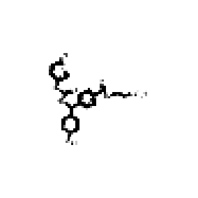 CC(C)(C)C1CCC(C(NC(=O)Nc2ccc(C#N)cc2)c2ccc(C(=O)NCCC(=O)O)cc2)CC1